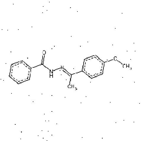 COc1ccc(/C(C)=N/NC(=O)c2ccccc2)cc1